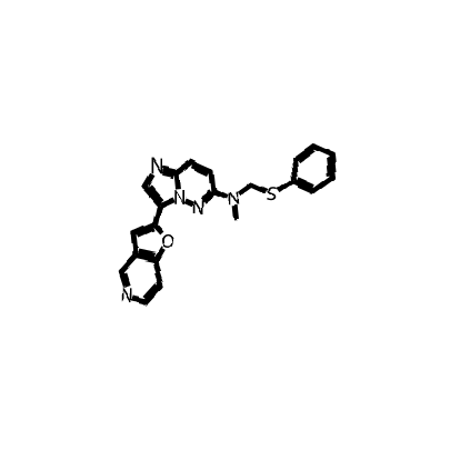 CN(CSc1ccccc1)c1ccc2ncc(-c3cc4cnccc4o3)n2n1